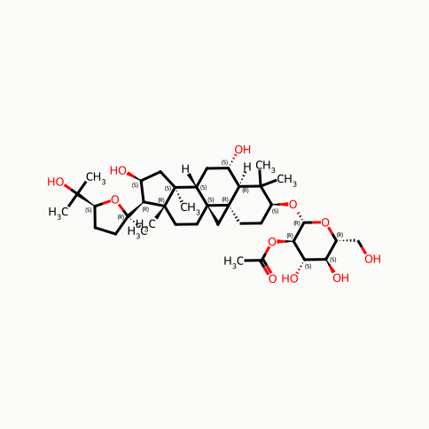 CC(=O)O[C@H]1[C@H](O[C@H]2CC[C@]34C[C@]35CC[C@]3(C)[C@@H]([C@@]6(C)CC[C@@H](C(C)(C)O)O6)[C@@H](O)C[C@@]3(C)[C@@H]5C[C@H](O)[C@H]4C2(C)C)O[C@H](CO)[C@@H](O)[C@@H]1O